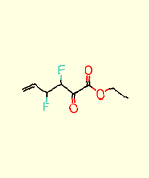 C=CC(F)C(F)C(=O)C(=O)OCC